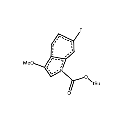 COc1cn(C(=O)OC(C)(C)C)c2cc(F)ccc12